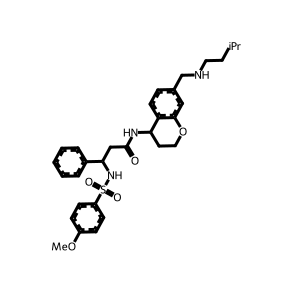 COc1ccc(S(=O)(=O)NC(CC(=O)NC2CCOc3cc(CNCCC(C)C)ccc32)c2ccccc2)cc1